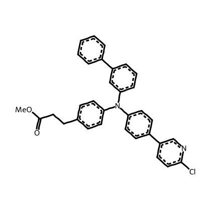 COC(=O)CCc1ccc(N(c2ccc(-c3ccc(Cl)nc3)cc2)c2cccc(-c3ccccc3)c2)cc1